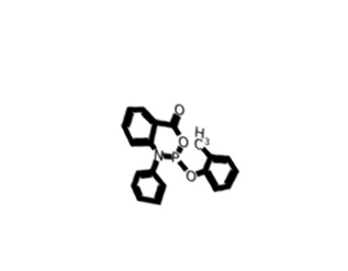 Cc1ccccc1OP1OC(=O)c2ccccc2N1c1ccccc1